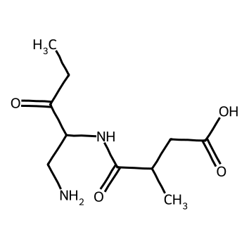 CCC(=O)C(CN)NC(=O)C(C)CC(=O)O